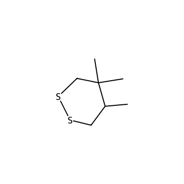 CC1CSSCC1(C)C